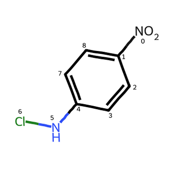 O=[N+]([O-])c1ccc(NCl)cc1